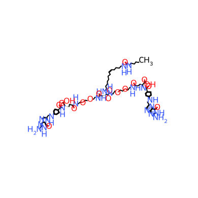 CCCCCNC(=O)NCCCC/C=C\CCCCCCC(=O)N[C@@H](CC(=O)NCCOCCOCCNC(=O)CC[C@H](NC(=O)c1ccc(NCc2cnc3nc(N)[nH]c(=O)c3n2)cc1)C(=O)O)C(=O)NCCOCCOCCNC(=O)CC[C@H](NC(=O)c1ccc(NCc2cnc3nc(N)[nH]c(=O)c3n2)cc1)C(=O)O